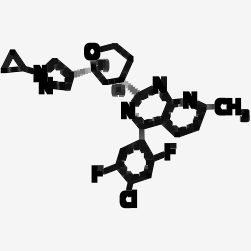 Cc1ccc2c(-c3cc(F)c(Cl)cc3F)nc([C@H]3CCO[C@@H](c4cnn(C5CC5)c4)C3)nc2n1